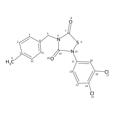 Cc1ccc(Cn2c(=O)sn(-c3ccc(Cl)c(Cl)c3)c2=O)cc1